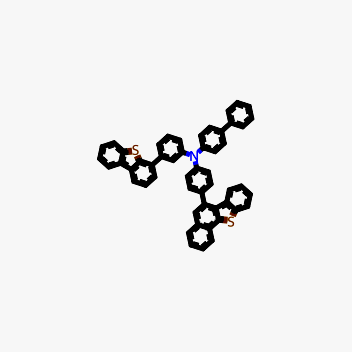 c1ccc(-c2ccc(N(c3ccc(-c4cc5ccccc5c5sc6ccccc6c45)cc3)c3cccc(-c4cccc5c4sc4ccccc45)c3)cc2)cc1